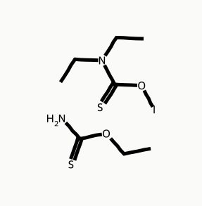 CCN(CC)C(=S)OI.CCOC(N)=S